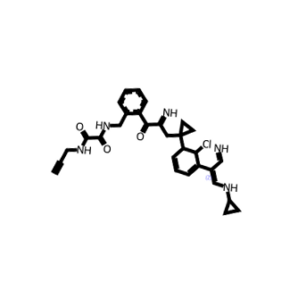 C#CCNC(=O)C(=O)NCc1ccccc1C(=O)C(=N)CC1(C2C=CC=C(/C(C=N)=C/NC3CC3)C2Cl)CC1